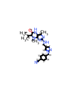 Cc1nc(NCc2cnn(Cc3ccc(C#N)cc3)c2)nc2c1NC(=O)C(C(C)C)N2C